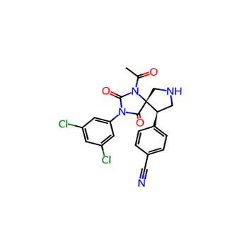 CC(=O)N1C(=O)N(c2cc(Cl)cc(Cl)c2)C(=O)[C@]12CNC[C@H]2c1ccc(C#N)cc1